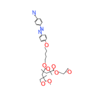 CCC(C)(CC(C)(CC(C)(C)C(=O)OCCC1CO1)C(=O)OCCCCCCOc1ccc(/N=N/c2ccc(C#N)cc2)cc1)C(=O)OC